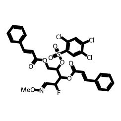 CON=CC(F)C(OC(=O)C=Cc1ccccc1)C(COC(=O)C=Cc1ccccc1)OS(=O)(=O)c1cc(Cl)c(Cl)cc1Cl